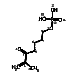 C=C(C)C(=O)CCCCOP(=O)(O)O